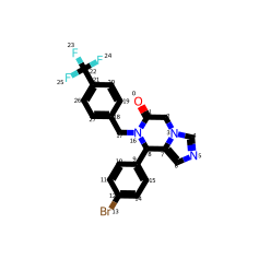 O=C1Cn2cncc2C(c2ccc(Br)cc2)N1Cc1ccc(C(F)(F)F)cc1